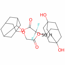 O=C(COC12CC3CC(C1)C(OC(=O)C(F)(F)S(=O)(=O)O)C(C3)C2)OC12CC3CC(O)(CC(O)(C3)C1)C2